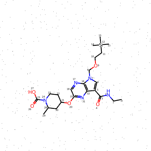 CCNC(=O)c1cn(COCC[Si](C)(C)C)c2ncc(OC3CCN(C(=O)O)C(C)C3)nc12